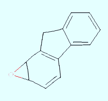 C1=CC2OC2C2=C1c1ccccc1C2